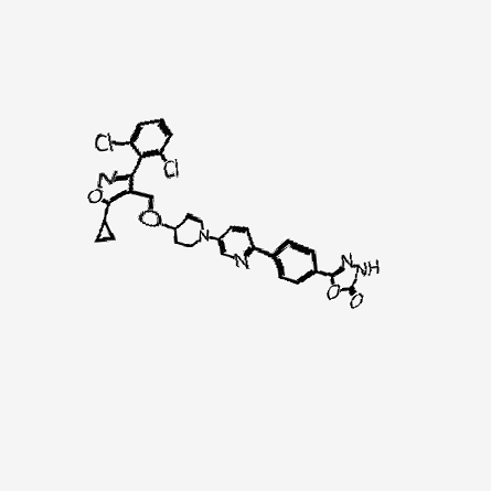 O=c1[nH]nc(-c2ccc(-c3ccc(N4CCC(OCc5c(-c6c(Cl)cccc6Cl)noc5C5CC5)CC4)cn3)cc2)o1